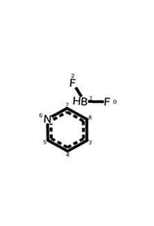 FBF.c1ccncc1